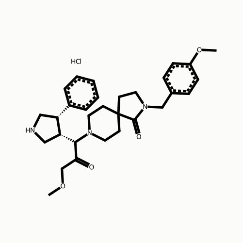 COCC(=O)C([C@@H]1CNC[C@@H]1c1ccccc1)N1CCC2(CCN(Cc3ccc(OC)cc3)C2=O)CC1.Cl